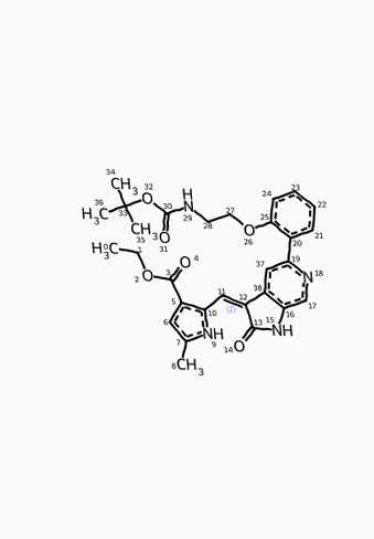 CCOC(=O)c1cc(C)[nH]c1/C=C1\C(=O)Nc2cnc(-c3ccccc3OCCNC(=O)OC(C)(C)C)cc21